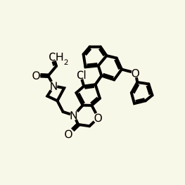 C=CC(=O)N1CC(CN2C(=O)COc3cc(-c4cc(Oc5ccccc5)cc5ccccc45)c(Cl)cc32)C1